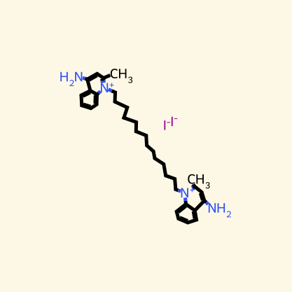 Cc1cc(N)c2ccccc2[n+]1CCCCCCCCCCCCCC[n+]1c(C)cc(N)c2ccccc21.[I-].[I-]